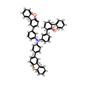 c1cc(-c2ccc3oc4ccccc4c3c2)cc(N(c2ccc(-c3ccc4sc5ccccc5c4c3)cc2)c2cccc(-c3cccc4c3oc3ccccc34)c2)c1